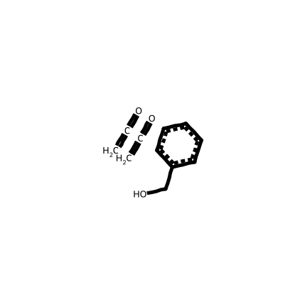 C=C=O.C=C=O.OCc1ccccc1